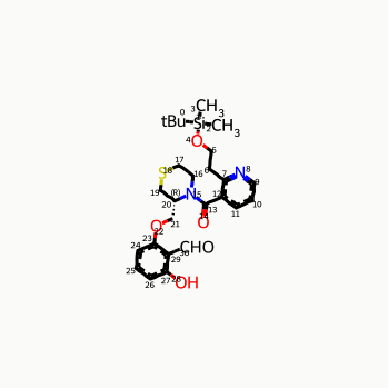 CC(C)(C)[Si](C)(C)OCCc1ncccc1C(=O)N1CCSC[C@H]1COc1cccc(O)c1C=O